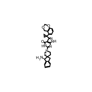 N[C@@H]1c2ccccc2CC12CCN(c1nc3[nH]nc(C4(c5cccc6c5COCO6)CC4)c3c(=O)[nH]1)CC2